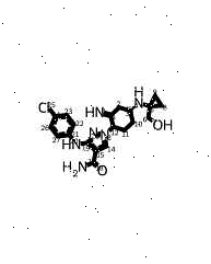 N=C1C[C@@H](NC2(CO)CC2)CCC1n1cc(C(N)=O)c(Nc2ccc(Cl)cc2)n1